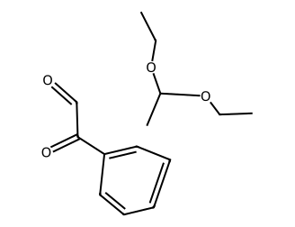 CCOC(C)OCC.O=CC(=O)c1ccccc1